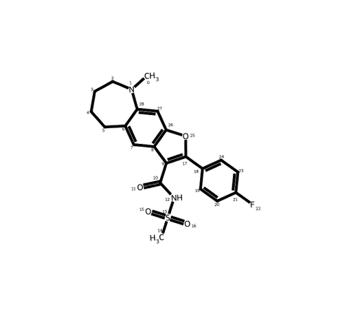 CN1CCCCc2cc3c(C(=O)NS(C)(=O)=O)c(-c4ccc(F)cc4)oc3cc21